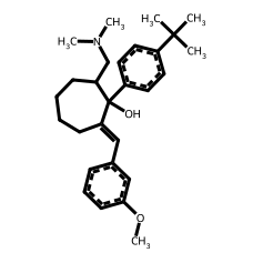 COc1cccc(/C=C2\CCCCC(CN(C)C)C2(O)c2ccc(C(C)(C)C)cc2)c1